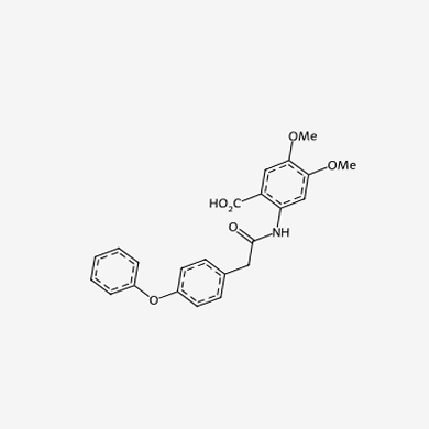 COc1cc(NC(=O)Cc2ccc(Oc3ccccc3)cc2)c(C(=O)O)cc1OC